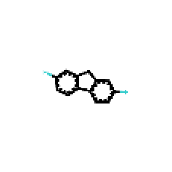 Fc1ccc2c(c1)Cc1cc(F)ccc1-2